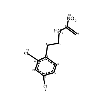 C=C(NCCc1ccc(Cl)cc1Cl)[N+](=O)[O-]